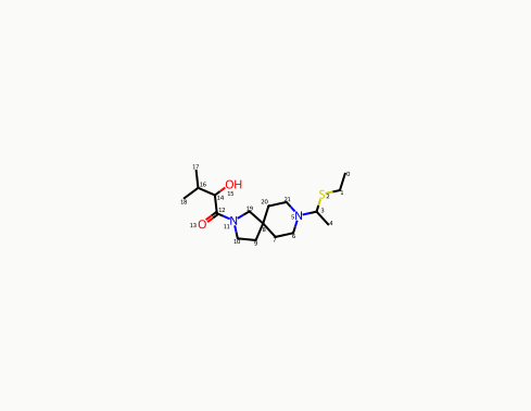 CCSC(C)N1CCC2(CCN(C(=O)C(O)C(C)C)C2)CC1